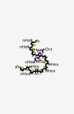 CCCCCCCCC(CCCCCC)CN1C(=O)C2=C(c3ccc(-c4cc(CCCCCC)c(-c5cc(CCCCCC)c(C(C)C)s5)s4)s3)N(CC(CCCCCC)CCCCCCCC)C(=O)C2=C1c1ccc(-c2cc(CCCCCC)c(-c3cc(CCCCCC)c(-c4ccc(C(C)(C)C(C)(C)c5cc(CCCCCC)c(-c6sc(-c7ccc(C(C)C)s7)cc6CCCCCC)s5)s4)s3)s2)s1